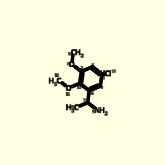 COc1cccc(C(C)N)c1OC.Cl